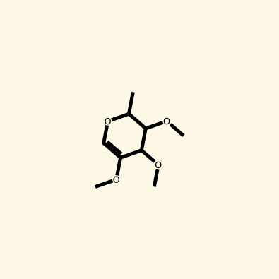 COC1=COC(C)C(OC)C1OC